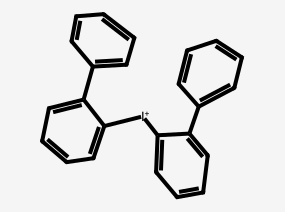 c1ccc(-c2ccccc2[I+]c2ccccc2-c2ccccc2)cc1